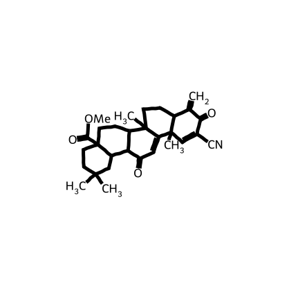 C=C1C(=O)C(C#N)=CC2(C)C3=CC(=O)C4C(CCC5(C(=O)OC)CCC(C)(C)CC45)C3(C)CCC12